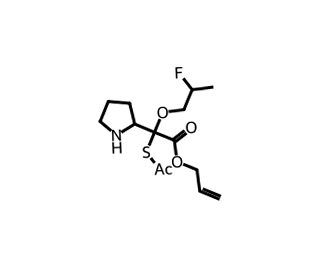 C=CCOC(=O)C(OCC(C)F)(SC(C)=O)C1CCCN1